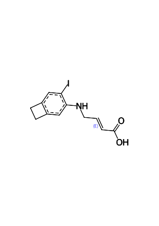 O=C(O)/C=C/CNc1cc2c(cc1I)CC2